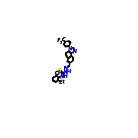 CCc1cccc(C)c1NC(=S)NN=Cc1ccc2c(ccc3c2ncn3-c2ccc(C(F)(F)F)cc2)c1